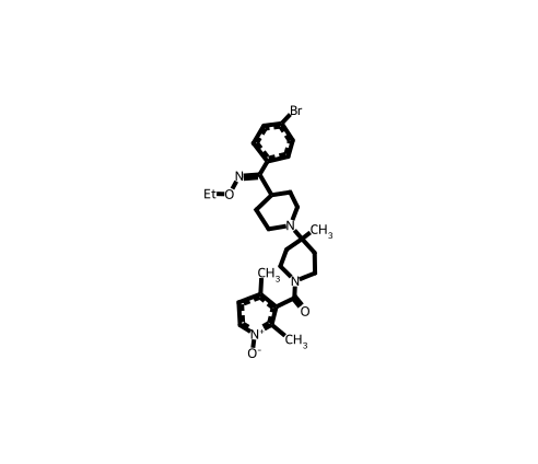 CCO/N=C(/c1ccc(Br)cc1)C1CCN(C2(C)CCN(C(=O)c3c(C)cc[n+]([O-])c3C)CC2)CC1